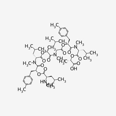 CN[C@H](CC(C)C)C(=O)O[C@@H](Cc1ccc(C)cc1)C(=O)N(C)[C@H](CC(C)C)C(=O)O[C@@H](C)C(=O)N(C)[C@H](CC(C)C)C(=O)O[C@@H](Cc1ccc(C)cc1)C(=O)N(C)[C@H](CC(C)C)C(=O)O[C@@H](C)C(=O)O